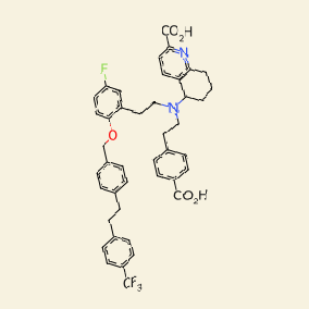 O=C(O)c1ccc(CCN(CCc2cc(F)ccc2OCc2ccc(CCc3ccc(C(F)(F)F)cc3)cc2)C2CCCc3nc(C(=O)O)ccc32)cc1